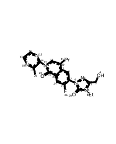 CCn1c(CO)nn(-c2cc3c(C(C)C)cn(-c4nccnc4C)c(=O)c3cc2F)c1=O